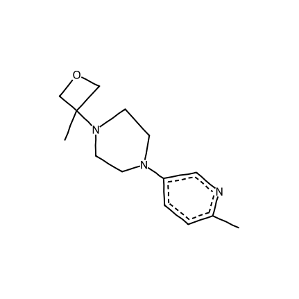 Cc1ccc(N2CCN(C3(C)COC3)CC2)cn1